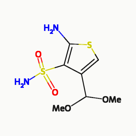 COC(OC)c1csc(N)c1S(N)(=O)=O